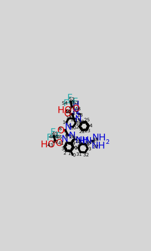 Cc1ccc2nc(C(=O)N3CCC4(CC3)C(=O)NCN4c3ccccc3)nc(NC3CCCCC3NC(=N)N)c2c1.O=C(O)C(F)(F)F.O=C(O)C(F)(F)F